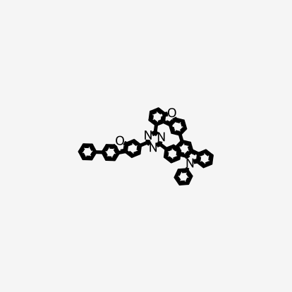 c1ccc(-c2ccc3c(c2)oc2cc(-c4nc(-c5ccccc5)nc(-c5cccc6oc7ccc(-c8ccc9c(c8)c8ccccc8n9-c8ccccc8)cc7c56)n4)ccc23)cc1